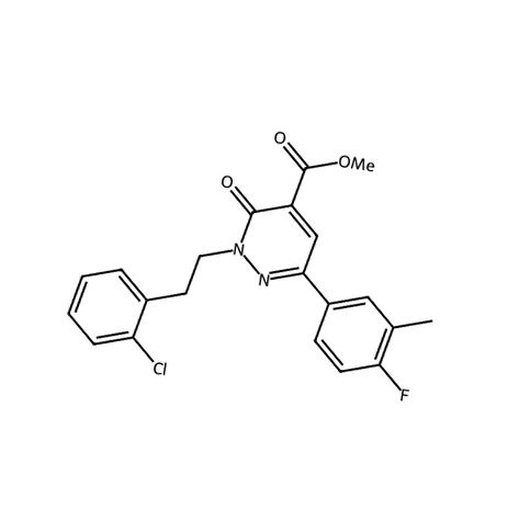 COC(=O)c1cc(-c2ccc(F)c(C)c2)nn(CCc2ccccc2Cl)c1=O